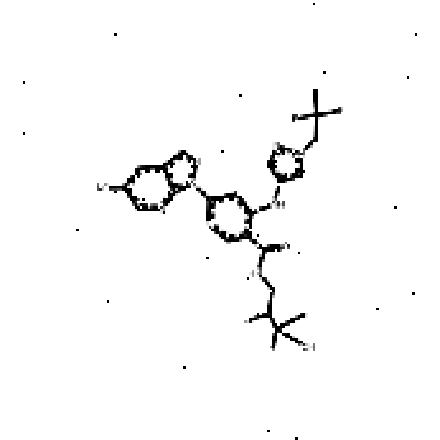 CC(F)(F)Cn1cc(Nc2cc(-n3ncc4cc(C#N)cnc43)ncc2C(=O)NCC(F)C(C)(C)O)cn1